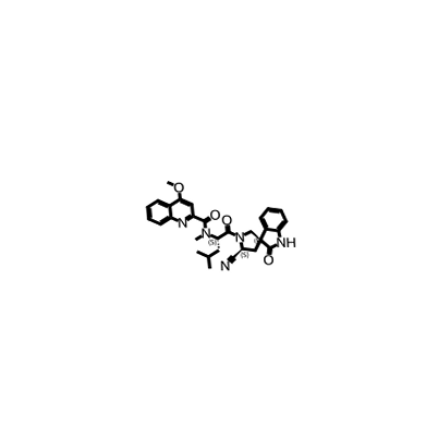 COc1cc(C(=O)N(C)[C@@H](CC(C)C)C(=O)N2C[C@]3(C[C@H]2C#N)C(=O)Nc2ccccc23)nc2ccccc12